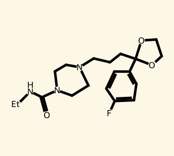 CCNC(=O)N1CCN(CCCC2(c3ccc(F)cc3)OCCO2)CC1